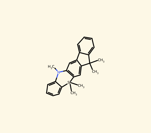 CN1c2ccccc2[Si](C)(C)c2cc3c(cc21)-c1ccccc1C3(C)C